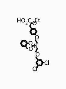 CCOC(Cc1ccc(OCCN(CCOCc2cc(Cl)cc(Cl)c2)C(=O)Oc2ccccc2C)cc1)C(=O)O